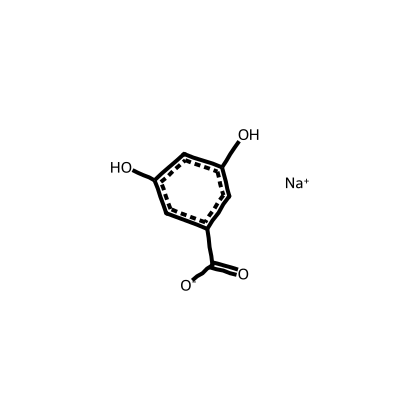 O=C([O-])c1cc(O)cc(O)c1.[Na+]